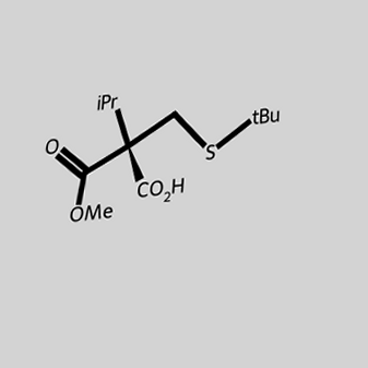 COC(=O)[C@](CSC(C)(C)C)(C(=O)O)C(C)C